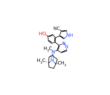 CN(c1ccnnc1-c1ccc(O)cc1-c1c[nH]cc1C#N)C1C[C@]2(C)CC[C@](C)(C1)N2